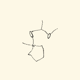 COC(C)O[N+]1(C)CCCC1